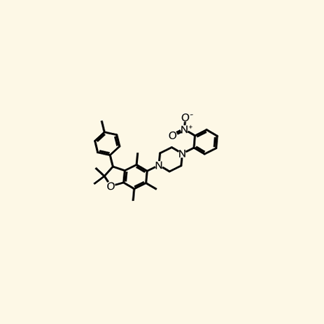 Cc1ccc(C2c3c(C)c(N4CCN(c5ccccc5[N+](=O)[O-])CC4)c(C)c(C)c3OC2(C)C)cc1